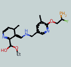 CCOC(O)C1=NC=CC(C)/C1=C\NCc1cnc(OCC(F)P)c(C)c1